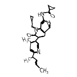 CCCC(C)c1cc(C)c(-c2cc3cnc(NC(=O)C4CC4)cc3n(CC3CC3)c2=O)cn1